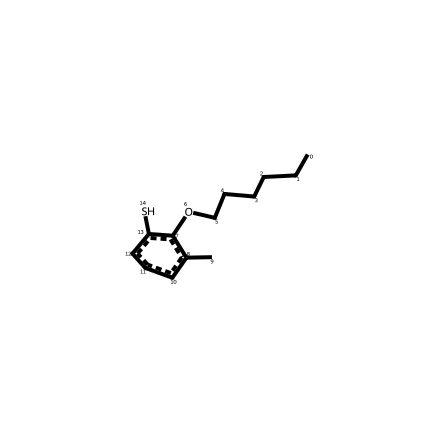 CCCCCCOc1c(C)cccc1S